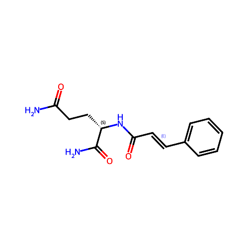 NC(=O)CC[C@H](NC(=O)/C=C/c1ccccc1)C(N)=O